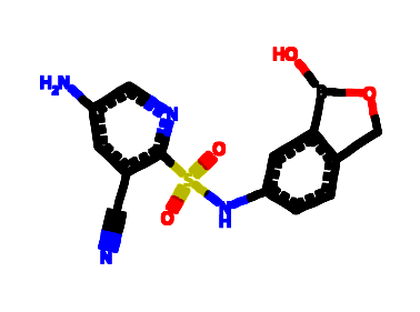 N#Cc1cc(N)cnc1S(=O)(=O)Nc1ccc2c(c1)B(O)OC2